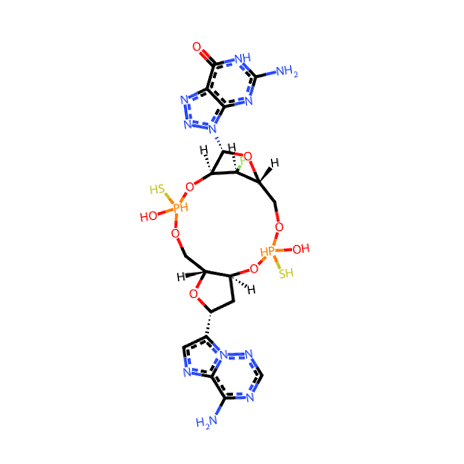 Nc1nc2c(nnn2[C@@H]2O[C@@H]3CO[PH](O)(S)O[C@H]4C[C@H](c5cnc6c(N)ncnn56)O[C@@H]4CO[PH](O)(S)O[C@@H]2[C@H]3F)c(=O)[nH]1